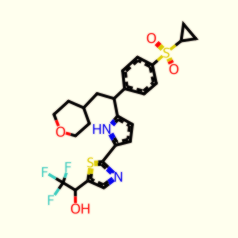 O=S(=O)(c1ccc(C(CC2CCOCC2)c2ccc(-c3ncc(C(O)C(F)(F)F)s3)[nH]2)cc1)C1CC1